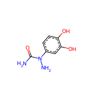 NC(=O)N(N)c1ccc(O)c(O)c1